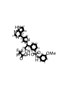 COc1cccc(NS(=O)(=O)c2cccc(C(CC#N)n3cc(-c4ncnc5[nH]ccc45)cn3)c2)c1.O=C(O)C(F)(F)F